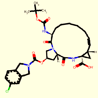 CC(C)(C)OC(=O)N[C@H]1CCCCCC=C[C@@H]2C[C@@]2(C(=O)O)NC(=O)[C@@H]2C[C@@H](OC(=O)N3Cc4ccc(Cl)cc4C3)CN2C1=O